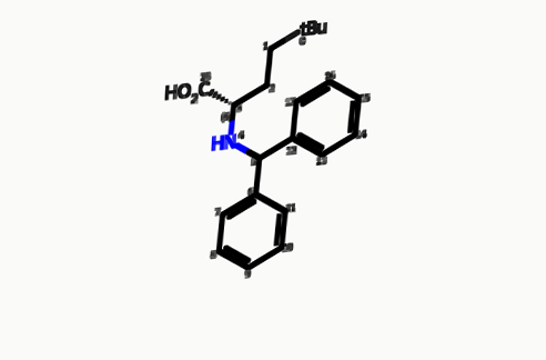 CC(C)(C)CC[C@H](NC(c1ccccc1)c1ccccc1)C(=O)O